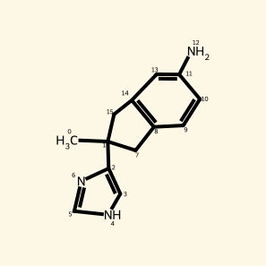 CC1(c2c[nH]cn2)Cc2ccc(N)cc2C1